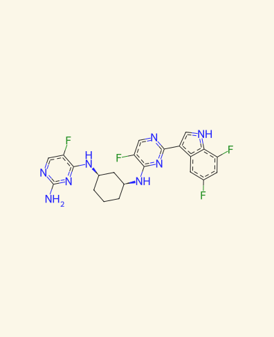 Nc1ncc(F)c(N[C@@H]2CCC[C@H](Nc3nc(-c4c[nH]c5c(F)cc(F)cc45)ncc3F)C2)n1